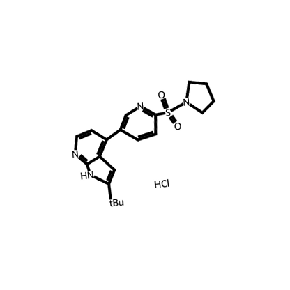 CC(C)(C)c1cc2c(-c3ccc(S(=O)(=O)N4CCCC4)nc3)ccnc2[nH]1.Cl